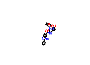 O=C(N[C@@H](Cc1ccccc1)C(=O)N[C@@H](CC1CCC1)B(O)O)c1ccc2nc(-c3ccccc3)[nH]c2c1